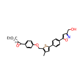 CCOC(=O)[C@H]1OC1c1ccc(OCc2sc(-c3ccc(-c4cc(CO)no4)cc3)cc2C)cc1